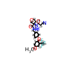 COc1ccc(Oc2ccc(CNC(=O)C3(NC(=O)CC#N)CCOC3)cc2)c(C(F)(F)F)c1